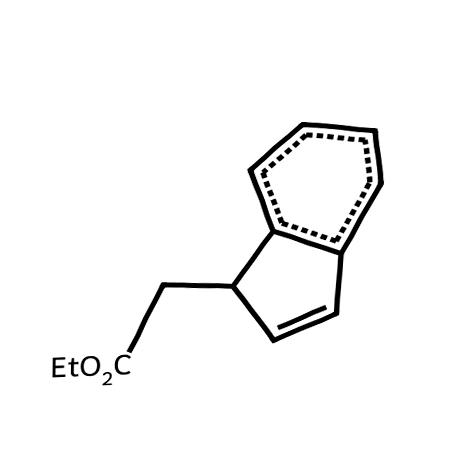 CCOC(=O)CC1C=Cc2ccccc21